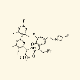 Cc1cc(-c2c(C)cc(F)cc2C)cc([C@H](CC(=O)O)NC(=O)C(CC(C)C)n2cc(CCN3CC(F)C3)cc(F)c2=O)c1F